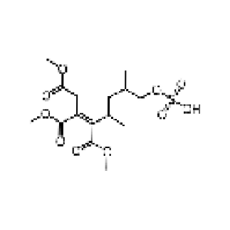 COC(=O)C/C(C(=O)OC)=C(/C(=O)OC)C(C)CC(C)COS(=O)(=O)O